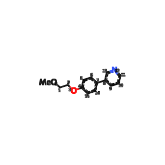 COCCOc1ccc(-c2cccnc2)cc1